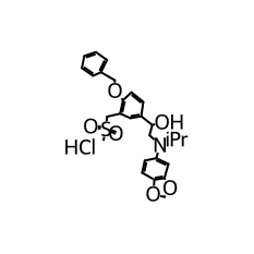 CC(C)N(CC(O)c1ccc(OCc2ccccc2)c(CS(C)(=O)=O)c1)c1ccc2c(c1)OCO2.Cl